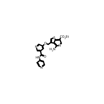 CCOC(=O)c1cnc(N)c2c(COc3cncc(C(=O)Nc4ccncc4)c3)csc12